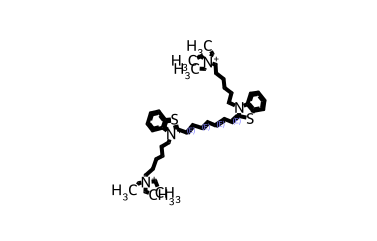 CC[N+](CC)(CC)CCCCCCN1\C(=C/C=C/C=C/C=C/c2sc3ccccc3[n+]2CCCCCC[N+](CC)(CC)CC)Sc2ccccc21